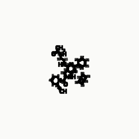 C#CC1CC=CCN1C(=O)c1cc2c(NCCNC(C)=O)nc(-c3ccccc3)nc2[nH]1.c1cc2ccc1-2